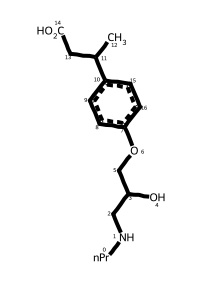 CCCNCC(O)COc1ccc(C(C)CC(=O)O)cc1